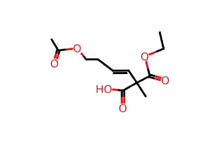 CCOC(=O)C(C)(C=CCCOC(C)=O)C(=O)O